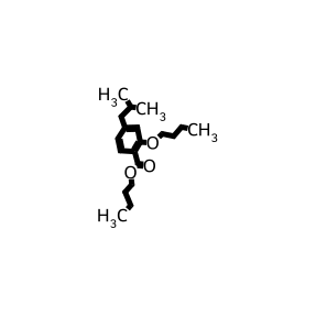 CCCCOC(=O)c1ccc(CC(C)C)cc1OCCCC